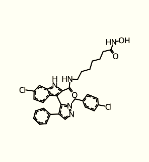 O=C(CCCCCCNC(=O)c1[nH]c2cc(Cl)ccc2c1-c1c(-c2ccccc2)cnn1Cc1ccc(Cl)cc1)NO